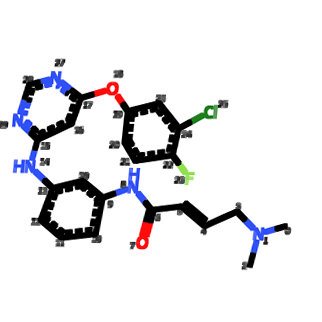 CN(C)C/C=C/C(=O)Nc1cccc(Nc2cc(Oc3ccc(F)c(Cl)c3)ncn2)c1